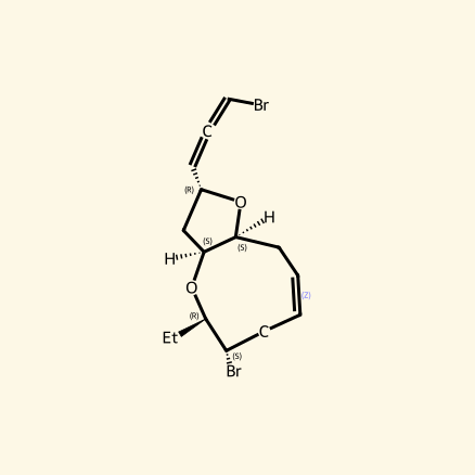 CC[C@H]1O[C@H]2C[C@H](C=C=CBr)O[C@H]2C/C=C\C[C@@H]1Br